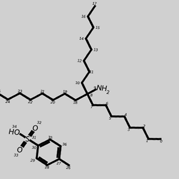 CCCCCCCCC(N)(CCCCCCCC)CCCCCCCC.Cc1ccc(S(=O)(=O)O)cc1